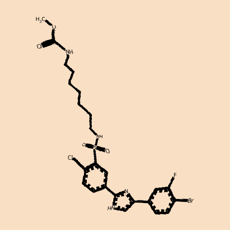 COC(=O)NCCCCCCCNS(=O)(=O)c1cc(-c2nc(-c3ccc(Br)c(F)c3)c[nH]2)ccc1Cl